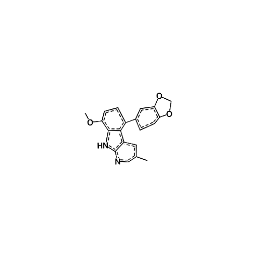 COc1ccc(-c2ccc3c(c2)OCO3)c2c1[nH]c1ncc(C)cc12